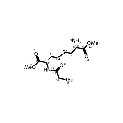 COC(=O)[C@H](CSSC[C@H](N)C(=O)OC)NC(=O)CC(C)(C)C